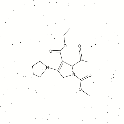 CCOC(=O)C1=C(N2CCCC2)CN(C(=O)OC)C1C(C)=O